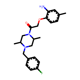 Cc1ccc(OCC(=O)N2CC(C)N(Cc3ccc(F)cc3)CC2C)c(N)c1